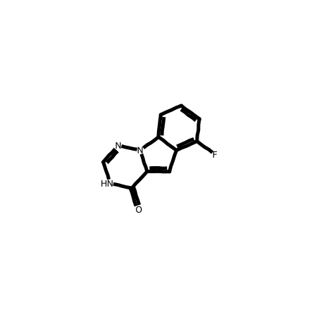 O=c1[nH]cnn2c1cc1c(F)cccc12